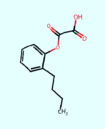 CCCCc1ccccc1OC(=O)C(=O)O